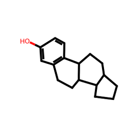 Oc1ccc2c(c1)CCC1C2CCC2CCCC21